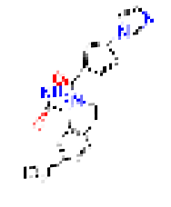 NC(=O)C1c2cc(C(=O)O)ccc2CCN1C(=O)c1ccc(-n2ccnc2)cc1